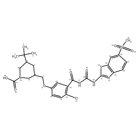 CC(C)(C)C1CC(COc2ccc(Cl)c(C(=O)NC(=O)Nc3nc4ccc(S(C)(=O)=O)cc4s3)c2)CN(C(=O)O)C1